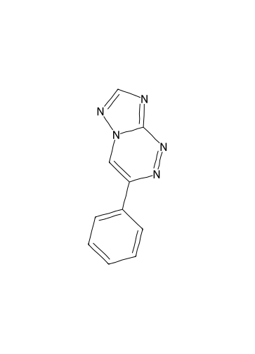 c1ccc(-c2cn3ncnc3nn2)cc1